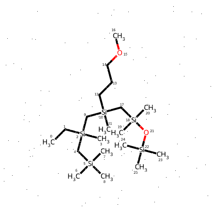 CC[Si](C)(C[Si](C)(C)C)C[Si](C)(CCCOC)C[Si](C)(C)O[Si](C)(C)C